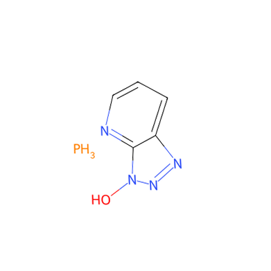 On1nnc2cccnc21.P